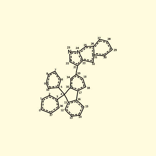 c1ccc(C2(c3ccccc3)c3ccccc3-c3ccc(-c4cnn5cc6ccccc6cc45)cc32)cc1